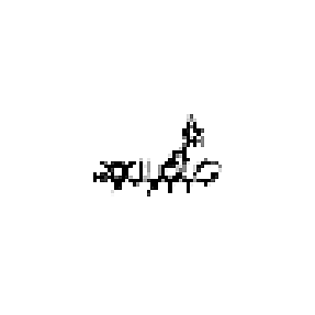 Cc1cc(C)c(CNC(=O)c2cc3cc(-c4cn(C)cn4)cn3c(C(C)N3CCOCC3)c2C)c(=O)[nH]1